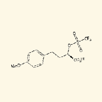 CCOC(=O)[C@@H](CCc1ccc(OC)cc1)OS(=O)(=O)C(F)(F)F